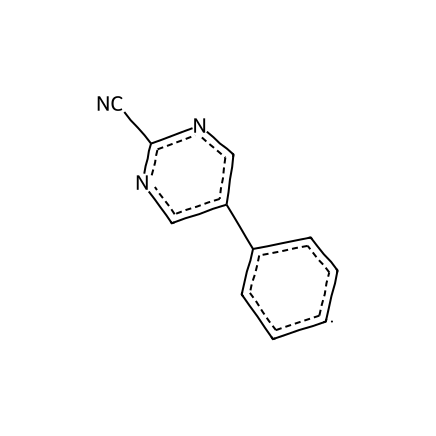 N#Cc1ncc(-c2cc[c]cc2)cn1